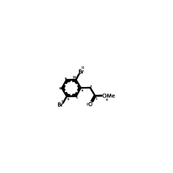 COC(=O)Cc1cc(Br)ccc1Br